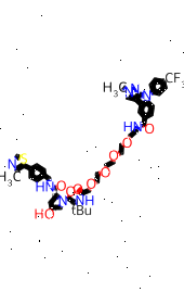 Cc1ncsc1-c1ccc(CNC(=O)[C@H]2C[C@H](O)CN2C(=O)[C@H](NC(=O)COCCOCCOCCOCCNC(=O)c2ccc3c(c2)c2cn(C)nc2n3-c2ccc(C(F)(F)F)cc2)C(C)(C)C)cc1